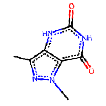 Cc1nn(C)c2c(=O)[nH]c(=O)[nH]c12